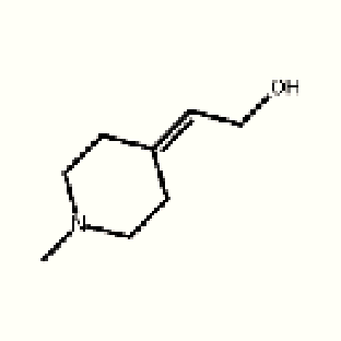 CN1CCC(=CCO)CC1